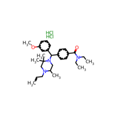 C=CCN1CC(C)(C)N(C(c2ccc(C(=O)N(CC)CC)cc2)c2cccc(OC)c2)CC1C.Cl.Cl